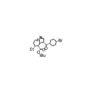 CCc1ccn2ncc(C(=O)c3ccc(Br)cc3)c2c1C(=O)OC(C)CC